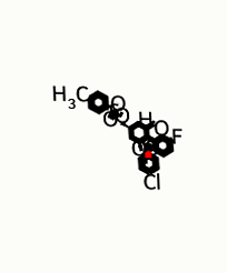 Cc1ccc(S(=O)(=O)OC[C@@H]2CCC3(S(=O)(=O)c4ccc(Cl)cc4)c4c(F)ccc(F)c4OC[C@H]3C2)cc1